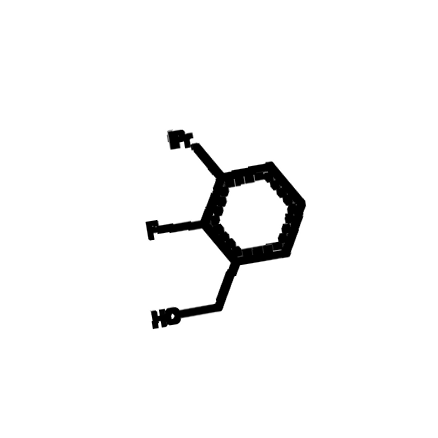 CC(C)c1cccc(CO)c1F